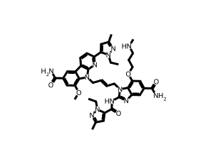 CCn1nc(C)cc1C(=O)Nc1nc2cc(C(N)=O)cc(OCCCNC)c2n1C/C=C/Cn1c2nc(-c3cc(C)nn3CC)ccc2c2cc(C(N)=O)cc(OC)c21